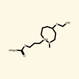 CCCCCCCC(=O)SCCC[SiH]1CCCC(OCO)CCN1C